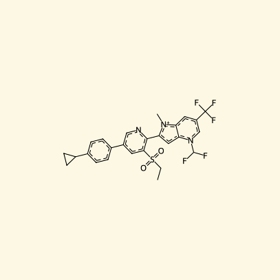 CCS(=O)(=O)c1cc(-c2ccc(C3CC3)cc2)cnc1-c1cc2n(C(F)F)cc(C(F)(F)F)cc-2[n+]1C